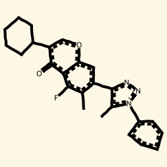 Cc1c(-c2nnn(-c3ccccc3)c2C)cc2occ(C3CCCCC3)c(=O)c2c1F